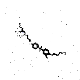 Cc1cc(C(C)(C)c2ccc(OCCCN(N)/C=C(\N)CSF)cc2)ccc1OCCCCl